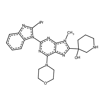 CC(C)c1nc2ccccc2n1-c1nc(N2CCOCC2)c2nc(C3(O)CCCNC3)n(C)c2n1